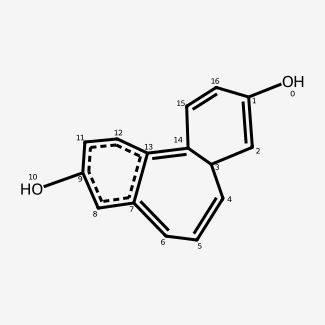 OC1=CC2C=CC=c3cc(O)ccc3=C2C=C1